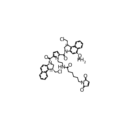 O=C(CCCCCN1C(=O)C=CC1=O)NCCn1c(C(=O)N2C[C@@H](CCl)c3c2ccc2ccccc32)ccc1C(=O)N1C[C@@H](CCl)c2c1cc(OP)c1ccccc21